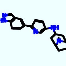 CN1C2CCC1CC(Nc1ccc(-c3ccc4[nH]ncc4c3)nc1)C2